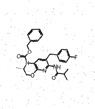 CC(C)C(=O)Nc1nc2c(cc1Cc1ccc(F)cc1)N(C(=O)OCc1ccccc1)[C@@H](C)CO2